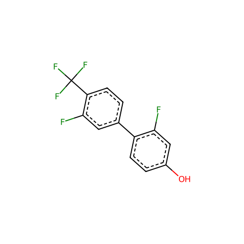 Oc1ccc(-c2ccc(C(F)(F)F)c(F)c2)c(F)c1